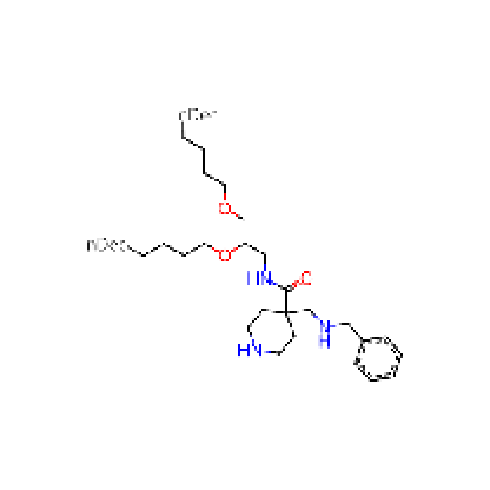 CCCCCCCCCCCCCCOCC(CNC(=O)C1(CNCc2ccccc2)CCNCC1)OCCCCCCCCCCCCCC